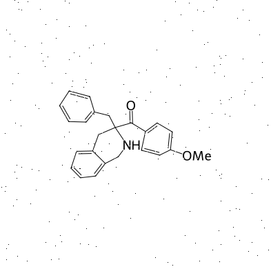 COc1ccc(C(=O)C2(Cc3ccccc3)Cc3ccccc3CN2)cc1